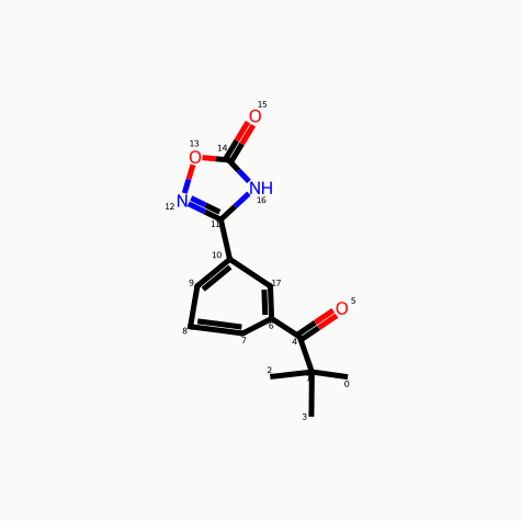 CC(C)(C)C(=O)c1cccc(-c2noc(=O)[nH]2)c1